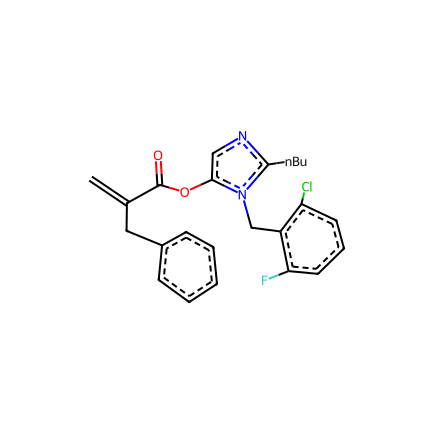 C=C(Cc1ccccc1)C(=O)Oc1cnc(CCCC)n1Cc1c(F)cccc1Cl